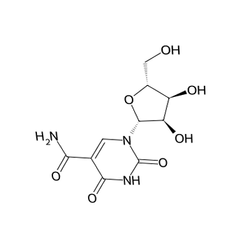 NC(=O)c1cn([C@@H]2O[C@H](CO)[C@@H](O)[C@H]2O)c(=O)[nH]c1=O